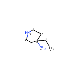 NC1(CC(F)(F)F)CCNCC1